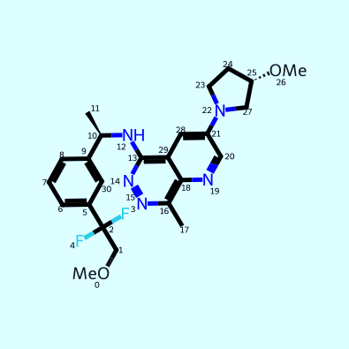 COCC(F)(F)c1cccc([C@@H](C)Nc2nnc(C)c3ncc(N4CC[C@H](OC)C4)cc23)c1